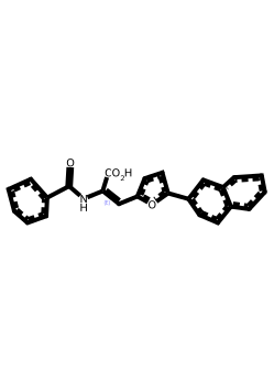 O=C(O)/C(=C\c1ccc(-c2ccc3ccccc3c2)o1)NC(=O)c1ccccc1